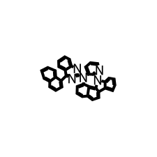 c1ccc2c(-c3nc(-n4c5cccc6ccc7c8ccccc8n(c8ncccc84)c7c65)nc4ccccc34)cccc2c1